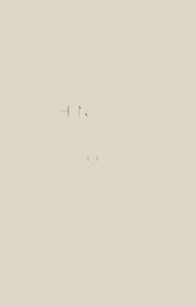 CC1C[CH]C(N)O1